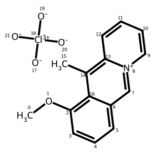 COc1cccc2c[n+]3ccccc3c(C)c12.[O-][Cl+3]([O-])([O-])[O-]